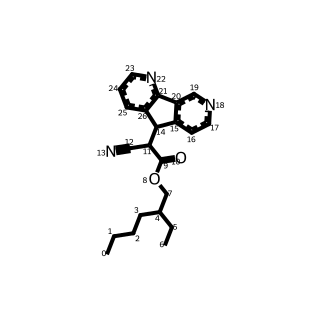 CCCCC(CC)COC(=O)C(C#N)C1c2ccncc2-c2ncccc21